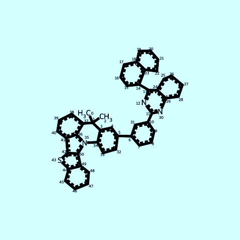 CC1(C)c2cc(-c3cccc(-c4nc(-c5cccc6ccccc56)c5ccccc5n4)c3)ccc2-n2c3c1cccc3c1sc3ccccc3c12